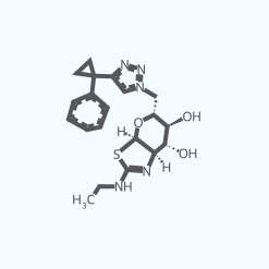 CCNC1=N[C@@H]2[C@@H](O)[C@H](O)[C@@H](Cn3cc(C4(c5ccccc5)CC4)nn3)O[C@@H]2S1